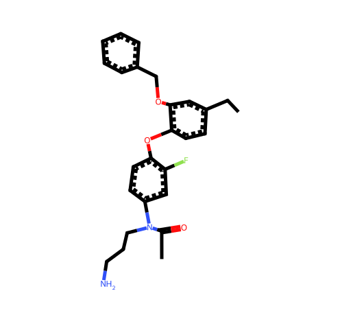 CCc1ccc(Oc2ccc(N(CCCN)C(C)=O)cc2F)c(OCc2ccccc2)c1